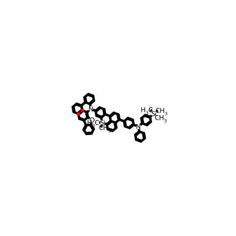 C[Si](C)(C)c1ccc(N(c2ccccc2)c2ccc(-c3ccc4c5c(cccc35)[Si](C)(C)c3cc(N(c5ccccc5-c5ccccc5)c5cccc6c5oc5ccccc56)ccc3-4)cc2)cc1